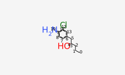 CCCC(O)Cc1ccc(N)c(Cl)c1